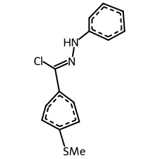 CSc1ccc(C(Cl)=NNc2ccccc2)cc1